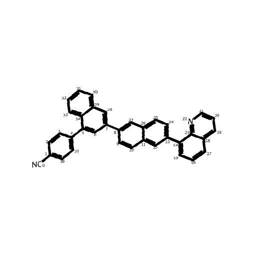 N#Cc1ccc(-c2cc(-c3ccc4cc(-c5cccc6cccnc56)ccc4c3)cc3ccccc23)cc1